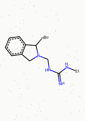 CCCCC1c2ccccc2CN1CNC(=N)NCC